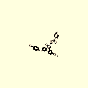 O=C(NCCN1CC(c2cccc(C(F)(F)F)c2)N(c2ccc(Oc3ccc(Cl)cc3)cc2)C1=O)N1CCOCC1